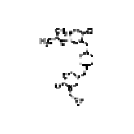 CC(C)Oc1ccc(Cl)c(CC2CCN(CC3COC(=O)N(CC4CC4)C3)CC2)c1